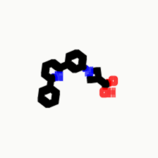 O=C(O)C1CN(c2cccc(-c3cccc(-c4ccccc4)n3)c2)C1